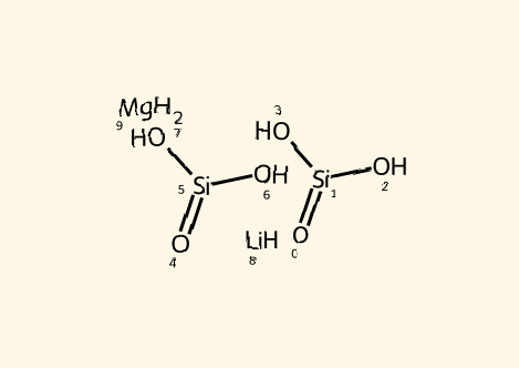 O=[Si](O)O.O=[Si](O)O.[LiH].[MgH2]